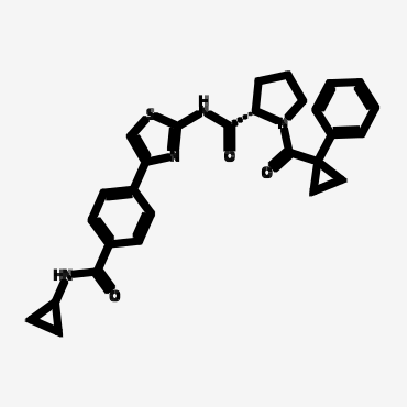 O=C(NC1CC1)c1ccc(-c2csc(NC(=O)[C@@H]3CCCN3C(=O)C3(c4ccccc4)CC3)n2)cc1